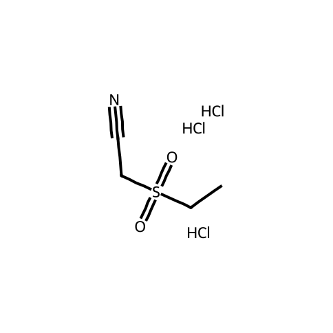 CCS(=O)(=O)CC#N.Cl.Cl.Cl